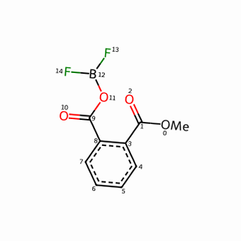 COC(=O)c1ccccc1C(=O)OB(F)F